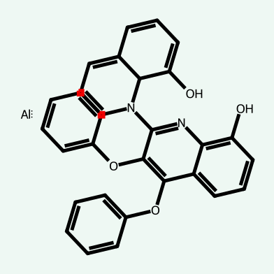 OC1=CC=CC2=CC=CN(c3nc4c(O)cccc4c(Oc4ccccc4)c3Oc3ccccc3)C12.[Al]